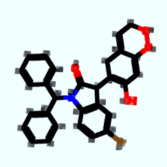 O=C1C(C2=C(O)C=C3OOCC=C3C2)c2cc(Br)ccc2N1C(c1ccccc1)c1ccccc1